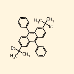 CCC(C)(C)c1ccc2c(-c3ccccc3)c3cc(C(C)(C)CC)ccc3c(-c3ccccc3)c2c1